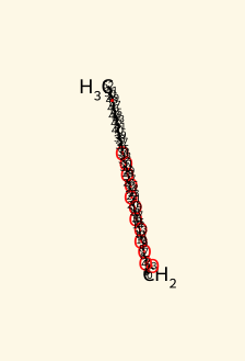 C=CC(=O)OCCOCCOCCOCCOCCOCCOCCOCCOCCOCCOCCCCCCCCC=CCCCCCCCC